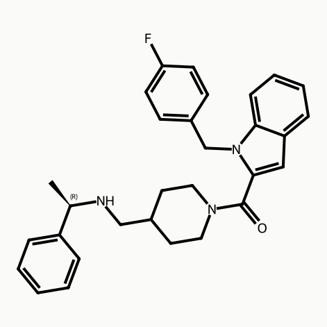 C[C@@H](NCC1CCN(C(=O)c2cc3ccccc3n2Cc2ccc(F)cc2)CC1)c1ccccc1